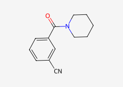 N#Cc1cccc(C(=O)N2CCCCC2)c1